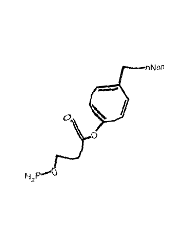 CCCCCCCCCCc1ccc(OC(=O)CCOP)cc1